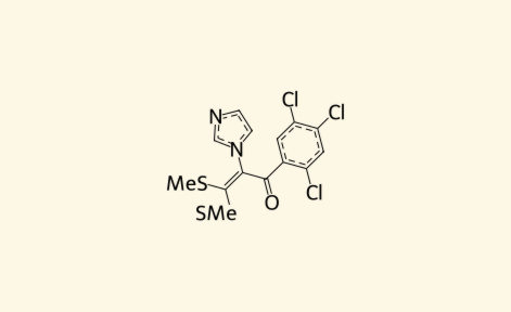 CSC(SC)=C(C(=O)c1cc(Cl)c(Cl)cc1Cl)n1ccnc1